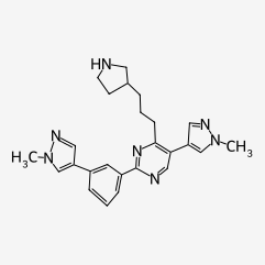 Cn1cc(-c2cccc(-c3ncc(-c4cnn(C)c4)c(CCCC4CCNC4)n3)c2)cn1